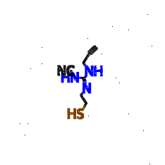 C#CCN/C(=N/CCS)NC#N